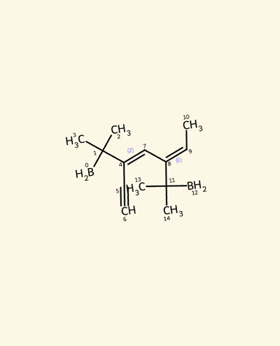 BC(C)(C)/C(C#C)=C/C(=C\C)C(B)(C)C